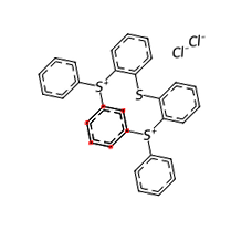 [Cl-].[Cl-].c1ccc([S+](c2ccccc2)c2ccccc2Sc2ccccc2[S+](c2ccccc2)c2ccccc2)cc1